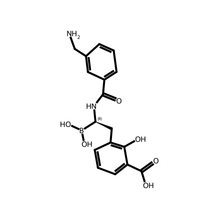 NCc1cccc(C(=O)N[C@@H](Cc2cccc(C(=O)O)c2O)B(O)O)c1